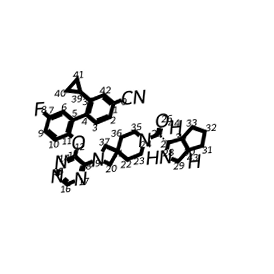 N#Cc1ccc(-c2cc(F)ccc2Oc2nncnc2N2CC3(CCN(C(=O)[C@H]4NC[C@@H]5CCC[C@@H]54)CC3)C2)c(C2CC2)c1